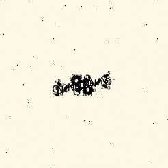 CC[N+]([O-])(CC)CCNc1cccc2c1C(=O)c1cccc(NCC[N+]([O-])(CC)CC)c1C2=O